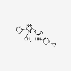 C=CCn1c(SCC(=O)Nc2ccc(C3CC3)cc2)nnc1-c1ccccc1